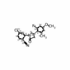 COc1cc(C)c([C@H]2CC(=O)N(c3nc(Cl)ccc3C#N)C2)c(F)c1